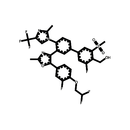 Cc1nc(-c2cc(-c3cc(F)c(CO)c(S(C)(=O)=O)c3)ccc2-n2cc(C(F)(F)F)nc2C)c(-c2ccc(OCC(F)F)c(F)c2)o1